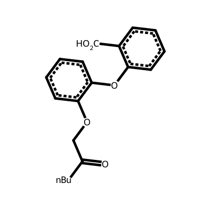 CCCCC(=O)COc1ccccc1Oc1ccccc1C(=O)O